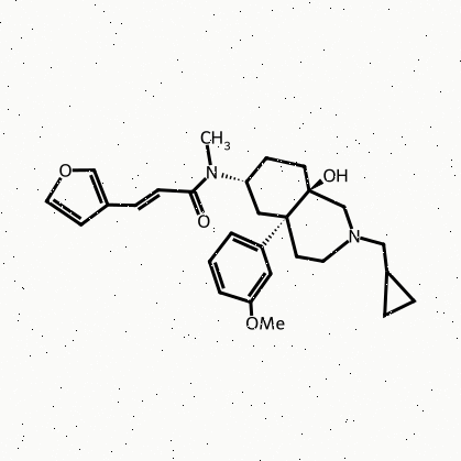 COc1cccc([C@@]23CCN(CC4CC4)C[C@@]2(O)CC[C@@H](N(C)C(=O)/C=C/c2ccoc2)C3)c1